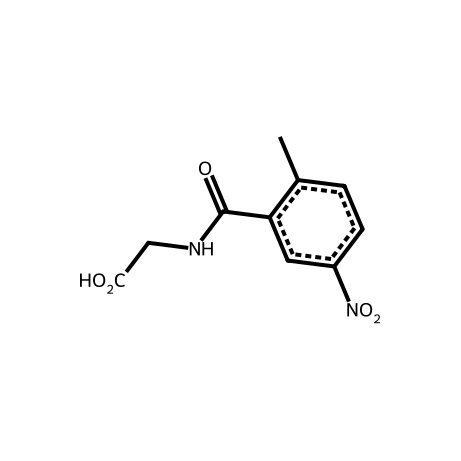 Cc1ccc([N+](=O)[O-])cc1C(=O)NCC(=O)O